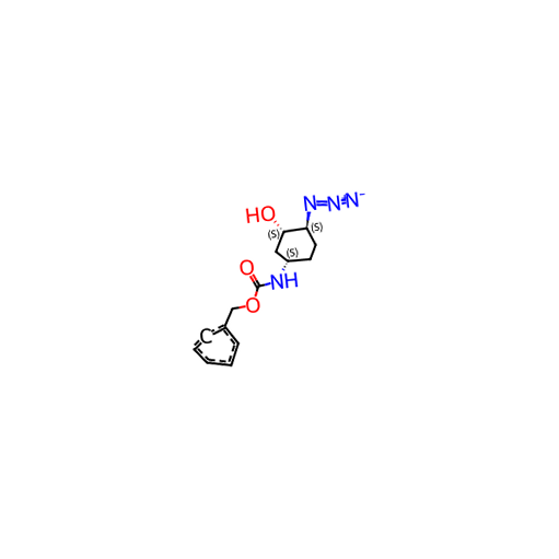 [N-]=[N+]=N[C@H]1CC[C@H](NC(=O)OCc2ccccc2)C[C@@H]1O